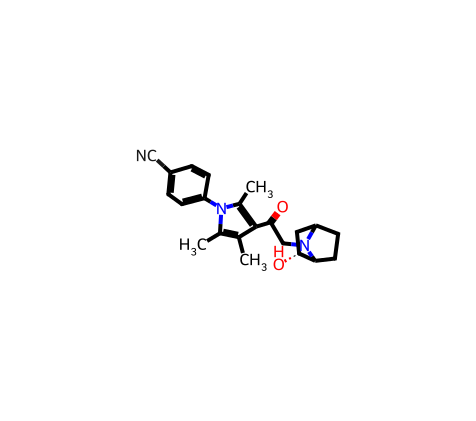 Cc1c(C(=O)CN2C3CCC2[C@H](O)C3)c(C)n(-c2ccc(C#N)cc2)c1C